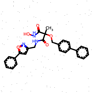 CC(OCc1ccc(-c2ccccc2)cc1)(C(=O)NO)C(=O)NCc1cc(-c2ccccc2)on1